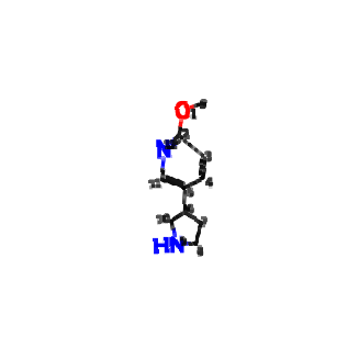 COc1ccc(C2CCNC2)cn1